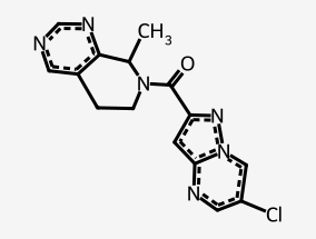 CC1c2ncncc2CCN1C(=O)c1cc2ncc(Cl)cn2n1